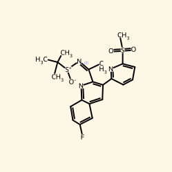 C/C(=N/[S+]([O-])C(C)(C)C)c1nc2ccc(F)cc2cc1-c1cccc(S(C)(=O)=O)n1